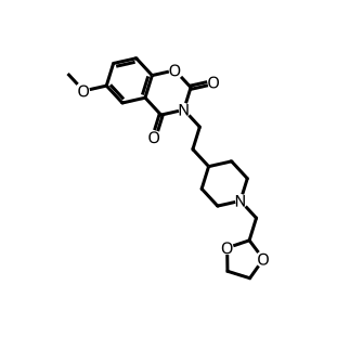 COc1ccc2oc(=O)n(CCC3CCN(CC4OCCO4)CC3)c(=O)c2c1